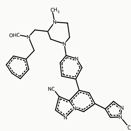 CN1CCN(c2ccc(-c3cc(-c4cnn(C)c4)cn4ncc(C#N)c34)cn2)CC1CN(C=O)Cc1ccccc1